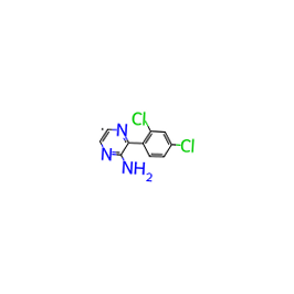 Nc1nc[c]nc1-c1ccc(Cl)cc1Cl